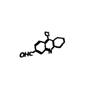 O=Cc1ccc2c(Cl)c3c(nc2c1)CCCC3